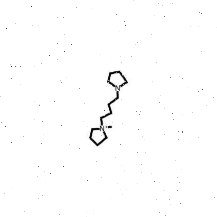 C[N+]1(CCCCN2CCCC2)CCCC1